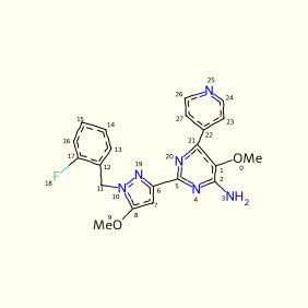 COc1c(N)nc(-c2cc(OC)n(Cc3ccccc3F)n2)nc1-c1ccncc1